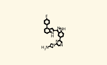 NC1CN(c2cncc(-c3ccc4[nH]nc(-c5cc6c(-c7ccc(F)cc7)cccc6[nH]5)c4c3)n2)C1